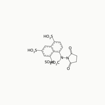 O=C1CCC(=O)N1N(C(=O)O)c1ccc(S(=O)(=O)O)c2cc(S(=O)(=O)O)cc(S(=O)(=O)O)c12